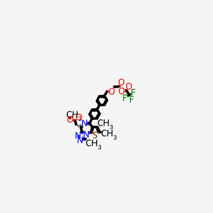 COC(=O)C[C@@H]1N=C(c2ccc(-c3ccc(COCC(=O)OC(=O)C(F)(F)F)cc3)cc2)c2c(sc(C)c2C)-n2c(C)nnc21